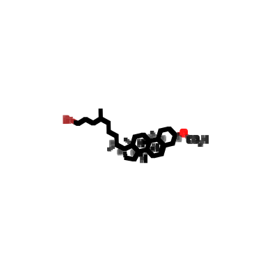 CC(CCCBr)CCC[C@@H](C)[C@H]1CC[C@H]2[C@@H]3CC=C4C[C@@H](OC(=O)O)CC[C@]4(C)[C@H]3CC[C@]12C